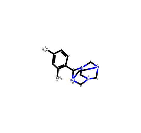 Cc1ccc(C2N3CN4CN(C3)C[NH+]2C4)c(C)c1